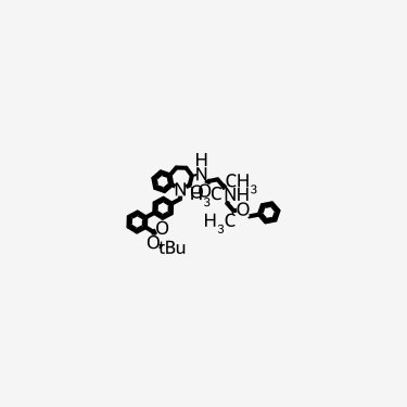 C[C@H](CNC(C)(C)CC(=O)N[C@@H]1CCc2ccccc2N(Cc2ccc(-c3ccccc3C(=O)OC(C)(C)C)cc2)C1=O)OCc1ccccc1